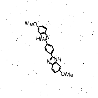 COc1ccc2nc(-c3ccc(-c4nc5ccc(OC)cc5[nH]4)cc3)[nH]c2c1